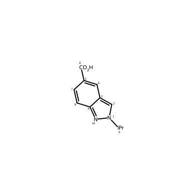 CC(C)n1cc2cc(C(=O)O)ccc2n1